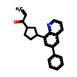 C=CC(=O)C1CCC(c2cc(-c3ccccc3)cc3cccnc23)C1